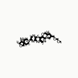 COCOCC1C[C@H]2COc3c(Sc4ncc(N5CCC6(CC5)CO[C@@H](C)[C@H]6N)nc4N)ccnc3N2C1